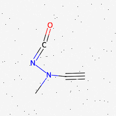 C#CN(C)N=C=O